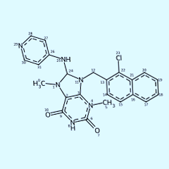 CN1c2c(n(C)c(=O)[nH]c2=O)N(Cc2ccc3ccccc3c2Cl)C1Nc1ccncc1